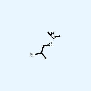 CCC(C)CO[SiH](C)C